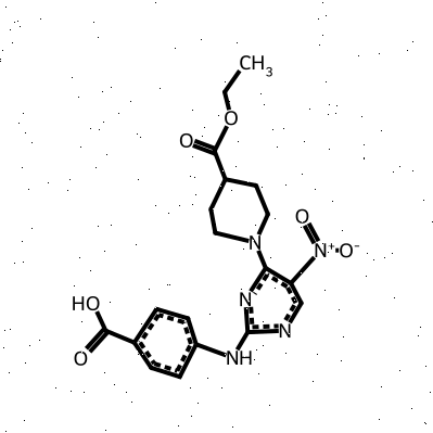 CCOC(=O)C1CCN(c2nc(Nc3ccc(C(=O)O)cc3)ncc2[N+](=O)[O-])CC1